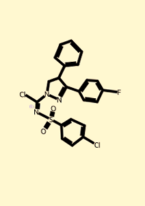 O=S(=O)(/N=C(/Cl)N1CC(c2ccccc2)C(c2ccc(F)cc2)=N1)c1ccc(Cl)cc1